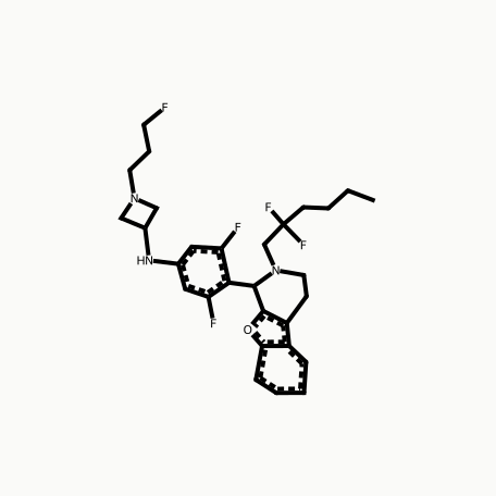 CCCCC(F)(F)CN1CCc2c(oc3ccccc23)C1c1c(F)cc(NC2CN(CCCF)C2)cc1F